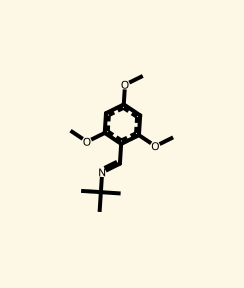 COc1cc(OC)c(C=NC(C)(C)C)c(OC)c1